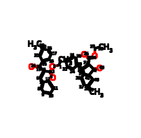 CCOC(=O)C(=Cc1ccccc1)C(=O)c1cccc(C)c1.CCOC(=O)C1=C(c2ccccc2)c2ccc(C)cc2C1=O